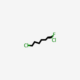 FC(Cl)=CCCCCCCl